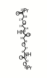 CC(C)OCC(=O)NCCOCCC(=O)NCCOCCC(=O)C(C)C